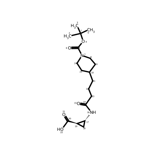 CC(C)(C)OC(=O)N1CCC(CCCC(=O)N[C@@H]2C[C@H]2C(=O)O)CC1